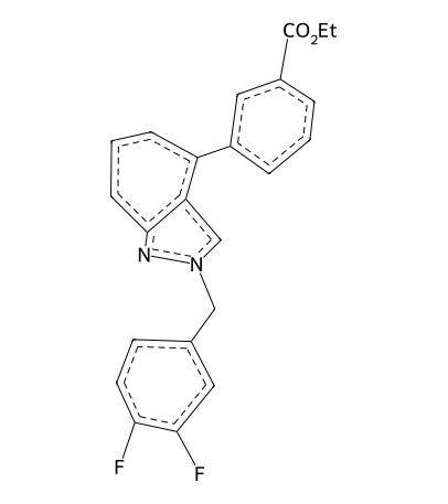 CCOC(=O)c1cccc(-c2cccc3nn(Cc4ccc(F)c(F)c4)cc23)c1